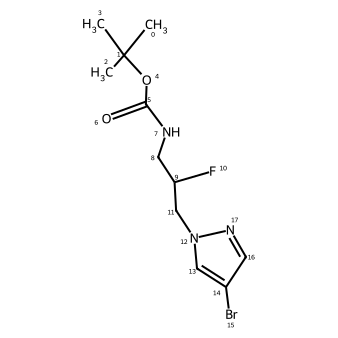 CC(C)(C)OC(=O)NCC(F)Cn1cc(Br)cn1